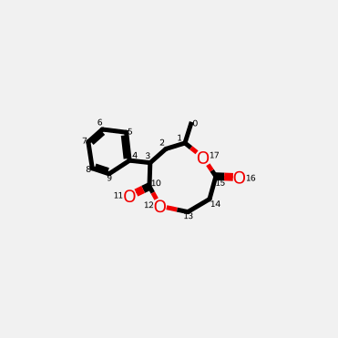 CC1CC(c2ccccc2)C(=O)OCCC(=O)O1